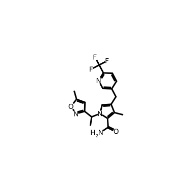 Cc1cc(C(C)n2cc(Cc3ccc(C(F)(F)F)nc3)c(C)c2C(N)=O)no1